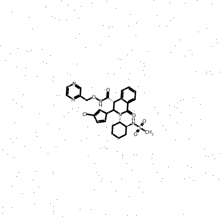 CS(=O)(=O)N[C@H]1CCCC[C@@H]1N1C(=O)c2ccccc2[C@@H](C(=O)NOCc2cnccn2)C1C1C=CC(Cl)=C1